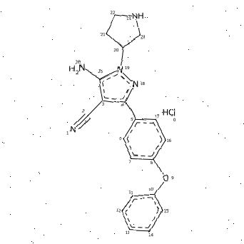 Cl.N#Cc1c(-c2ccc(Oc3ccccc3)cc2)nn(C2CCNC2)c1N